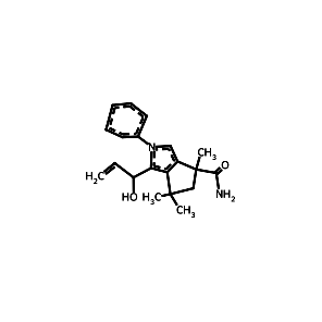 C=CC(O)c1c2c(cn1-c1ccccc1)C(C)(C(N)=O)CC2(C)C